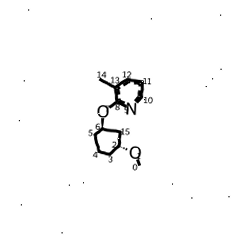 CO[C@@H]1CCC[C@@H](Oc2ncccc2C)C1